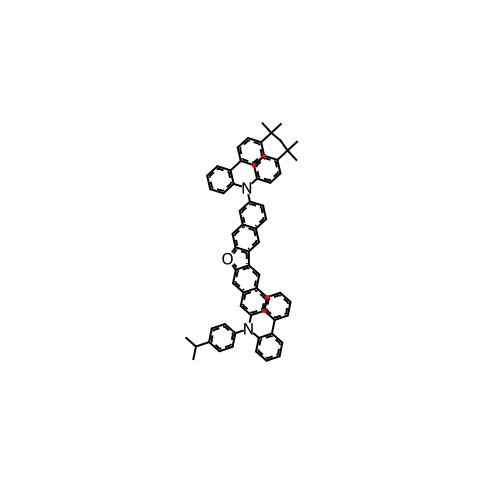 CC(C)c1ccc(N(c2ccc3cc4c(cc3c2)oc2cc3cc(N(c5ccc(C(C)(C)C)cc5)c5ccccc5-c5ccc(C(C)(C)C)cc5)ccc3cc24)c2ccccc2-c2ccccc2)cc1